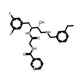 CCc1cccc(CNC[C@@H](O)[C@H](Cc2cc(F)cc(F)c2)NC(=O)CNC(=O)c2cccnc2)c1